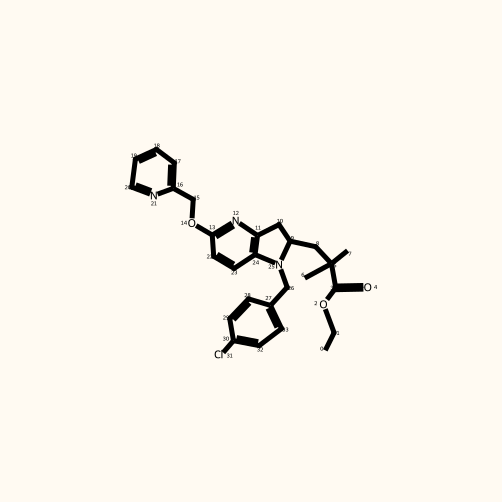 CCOC(=O)C(C)(C)CC1Cc2nc(OCc3ccccn3)ccc2N1Cc1ccc(Cl)cc1